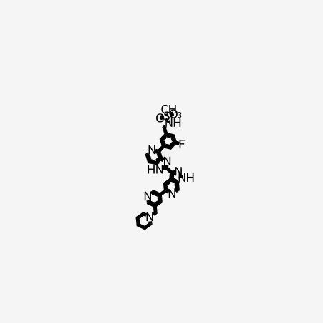 CS(=O)(=O)NCc1cc(F)cc(-c2nccc3[nH]c(-c4n[nH]c5cnc(-c6cncc(CN7CCCCC7)c6)cc45)nc23)c1